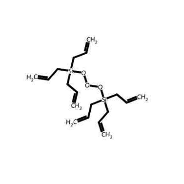 C=CC[Si](CC=C)(CC=C)OOO[Si](CC=C)(CC=C)CC=C